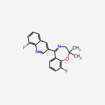 CC1(C)CN=C(c2cnc3c(F)cccc3c2)c2cccc(F)c2O1